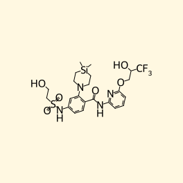 C[Si]1(C)CCN(c2cc(NS(=O)(=O)CCO)ccc2C(=O)Nc2cccc(OCC(O)C(F)(F)F)n2)CC1